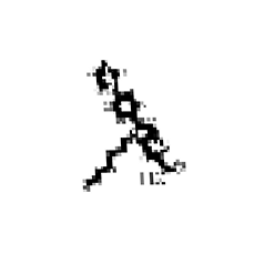 CCCCCCCn1c(-c2ccc(-n3ccnc3)cc2)cc2sc(C(=O)O)cc21